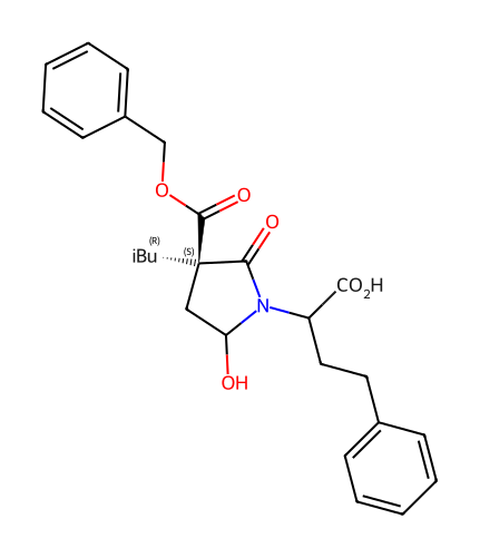 CC[C@@H](C)[C@@]1(C(=O)OCc2ccccc2)CC(O)N(C(CCc2ccccc2)C(=O)O)C1=O